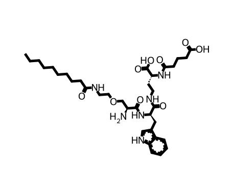 CCCCCCCCCC(=O)NCCOC[C@H](N)C(=O)N[C@H](Cc1c[nH]c2ccccc12)C(=O)NCC[C@@H](NC(=O)CCCC(=O)O)C(=O)O